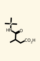 CC(CC(=O)O)C(=O)NS(C)(C)C